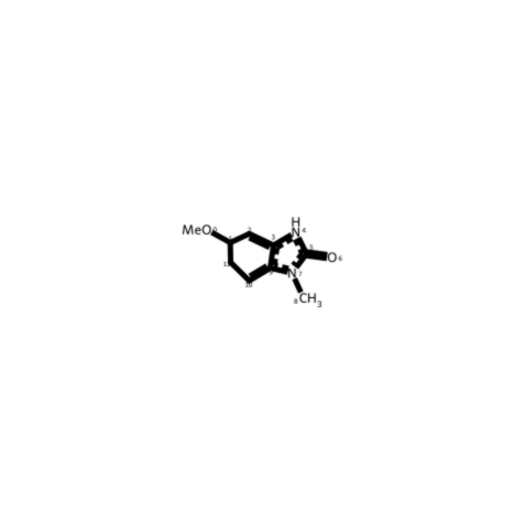 COC1C=c2[nH]c(=O)n(C)c2=CC1